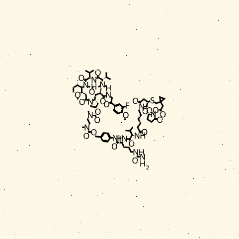 CC[C@H](C)C([C@@H](CC(=O)N1C[C@@H](OC(=O)N(C)CCN(C)C(=O)OCc2ccc(NC(=O)C(CCCNC(N)=O)NC(=O)[C@@H](NC(=O)CCCCCN3C(=O)CC(SCC4(CC(=O)ON5C(=O)CCC5=O)CC4)C3=O)C(C)C)cc2)C[C@H]1[C@H](OC)[C@@H](C)C(=O)NCC(=O)c1ccc(OC)c(F)c1)OC)N(C)C(=O)[C@@H](NC(=O)[C@H](C(C)C)N(C)C)C(C)C